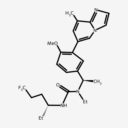 CC[C@H](CCC(F)(F)F)NC(=O)N(CC)[C@H](C)c1ccc(OC)c(-c2cc(C)c3nccn3c2)c1